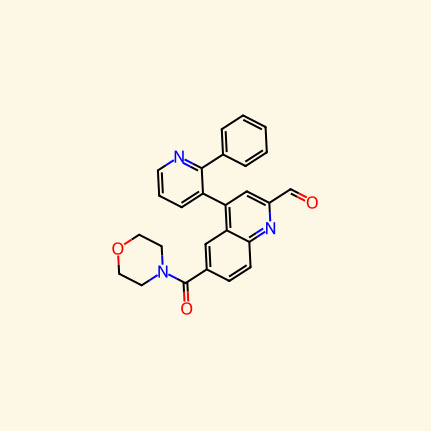 O=Cc1cc(-c2cccnc2-c2ccccc2)c2cc(C(=O)N3CCOCC3)ccc2n1